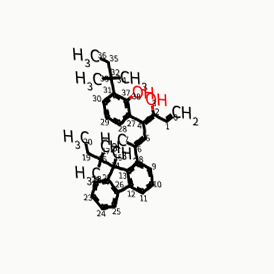 C=C/C(O)=C(\C=C(/C)c1cccc2c1C(C)(C(C)(C)CC)c1ccccc1-2)c1cccc(C(C)(C)CC)c1O